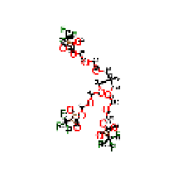 CC(COCOCOS(=O)(=O)C(F)(F)F)(COCOCOS(=O)(=O)C(F)(F)F)COCOCOS(=O)(=O)C(F)(F)F